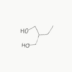 CCC(CO)CO